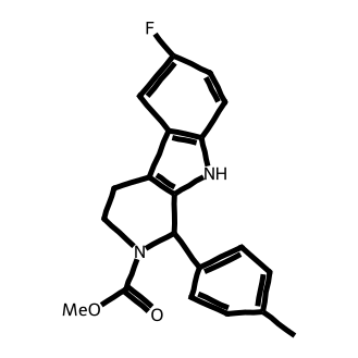 COC(=O)N1CCc2c([nH]c3ccc(F)cc23)C1c1ccc(C)cc1